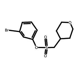 O=S(=O)(CC1CCOCC1)Oc1cccc(Br)c1